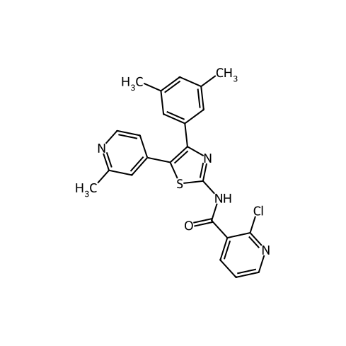 Cc1cc(C)cc(-c2nc(NC(=O)c3cccnc3Cl)sc2-c2ccnc(C)c2)c1